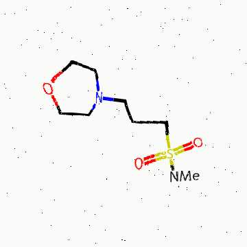 CNS(=O)(=O)CCCN1CCOCC1